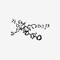 C=C(OCC)c1c(CC2CCC(C(=O)OCC)CC2)nc2c(-c3ccc(-c4ccccc4)nc3)cnn2c1N(COCC[Si](C)(C)C)COCC[Si](C)(C)C